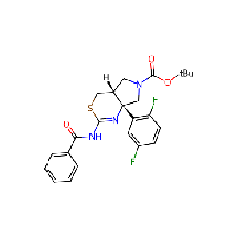 CC(C)(C)OC(=O)N1C[C@H]2CSC(NC(=O)c3ccccc3)=N[C@@]2(c2cc(F)ccc2F)C1